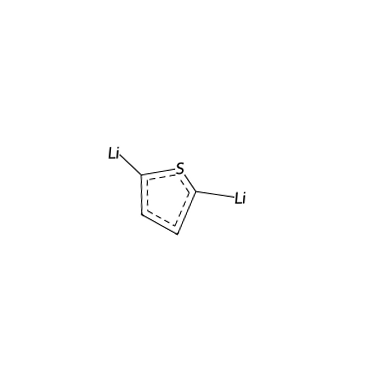 [Li][c]1cc[c]([Li])s1